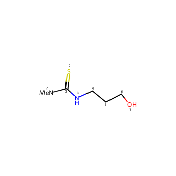 CNC(=S)NCCCO